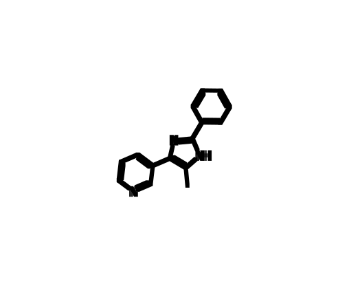 Cc1[nH]c(-c2ccccc2)nc1-c1cccnc1